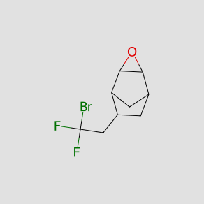 FC(F)(Br)CC1CC2CC1C1OC21